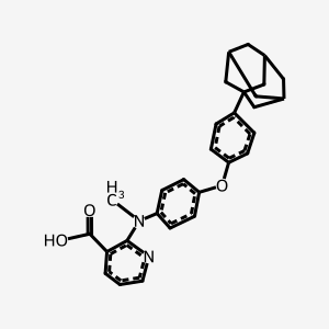 CN(c1ccc(Oc2ccc(C34CC5CC(CC(C5)C3)C4)cc2)cc1)c1ncccc1C(=O)O